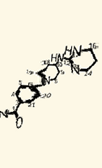 [NH]C(=O)c1ccc(N2CCC(NC3=NCCCN3)CC2)cc1